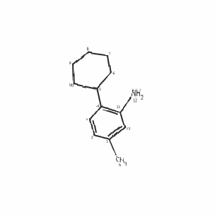 Cc1ccc(C2CCCCC2)c(N)c1